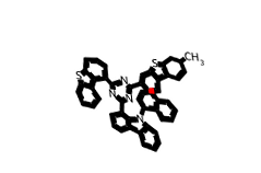 CC1C=Cc2c(sc3cc(-c4nc(-c5cccc6sc7ccccc7c56)nc(-c5cccc6c7ccccc7n(-c7cccc8ccccc78)c56)n4)ccc23)C1